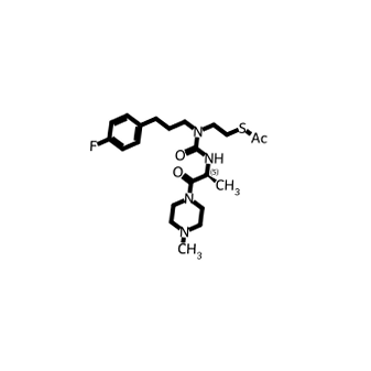 CC(=O)SCCN(CCCc1ccc(F)cc1)C(=O)N[C@@H](C)C(=O)N1CCN(C)CC1